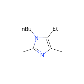 CCCCn1c(C)nc(C)c1CC